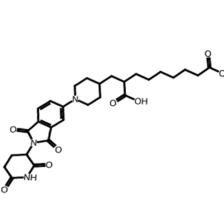 O=C(O)CCCCCCC(CC1CCN(c2ccc3c(c2)C(=O)N(C2CCC(=O)NC2=O)C3=O)CC1)C(=O)O